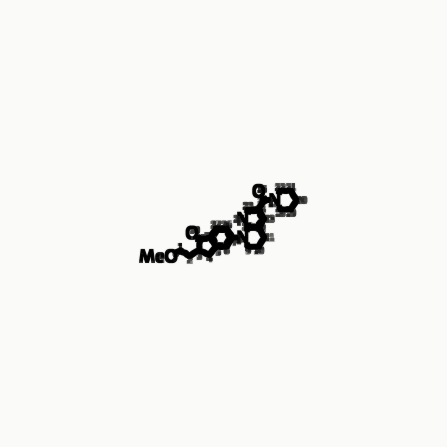 COCCC1Cc2cc(N3CCCc4cc(C(=O)N5CCCCC5)cnc43)ccc2C1=O